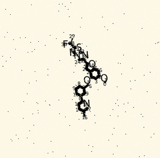 COc1cc(OCc2cccc(-c3ccc(C)cn3)c2)c2cc(-c3cn4nc([C@H](C)F)sc4n3)oc2c1